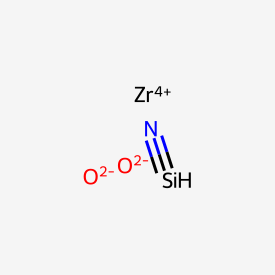 N#[SiH].[O-2].[O-2].[Zr+4]